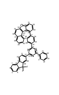 CC1(C)c2ccccc2-c2ccc(-c3nc(-c4ccccc4)nc(-c4ccc(-c5cccc6oc7ccc8ccccc8c7c56)cc4)n3)cc21